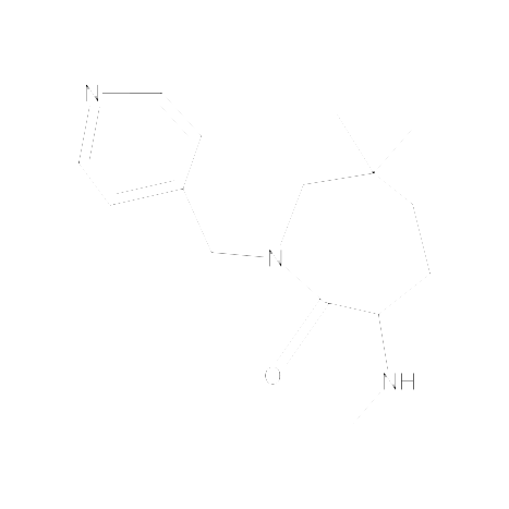 CNC1CCC(C)(C)CN(Cc2ccncc2)C1=O